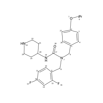 CC(C)Oc1ccc(CN(Cc2ccc(F)cc2F)C(=O)NC2CCNCC2)cc1